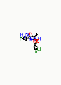 NC(=O)c1c(-c2ccc(F)cc2)nn2cc(NS(=O)(=O)CCc3ccc(Br)c(Cl)c3)c(C3CC3)cc12